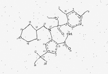 COP(=O)(c1ccc(C)cc1C)N(CC1CCOCC1)c1cc(C(C)(C)C)sc1C(=O)O